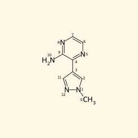 Cn1cc(-c2nccnc2N)cn1